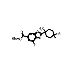 CCCC1(I)CCC(C)(c2nc3c(F)cc(C(=O)OC(C)(C)C)cc3s2)CC1